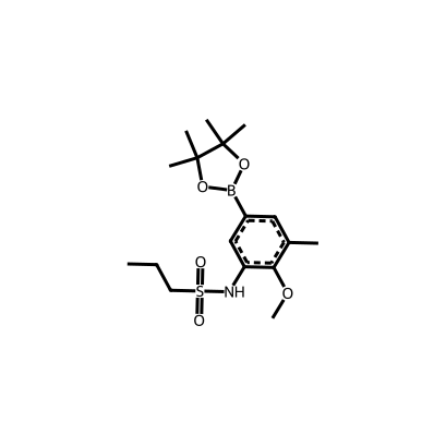 CCCS(=O)(=O)Nc1cc(B2OC(C)(C)C(C)(C)O2)cc(C)c1OC